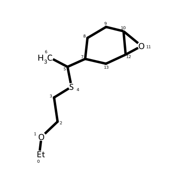 CCOCCSC(C)C1CCC2OC2C1